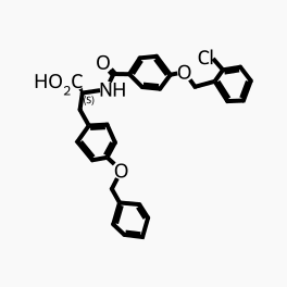 O=C(N[C@@H](Cc1ccc(OCc2ccccc2)cc1)C(=O)O)c1ccc(OCc2ccccc2Cl)cc1